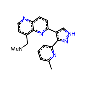 CNCc1ccnc2ccc(-c3c[nH]nc3-c3cccc(C)n3)nc12